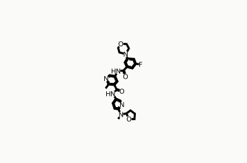 Cc1ncc(NC(=O)c2cc(F)cc(N3CCOCC3)c2)cc1C(=O)Nc1ccc(N(C)C2CCCO2)nc1